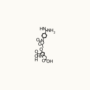 N=C(N)c1ccc(N2CC(COc3cc(CC(=O)O)[nH]c3C(=O)O)OC2=O)cc1